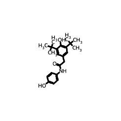 CC(C)(C)c1cc(CC(=O)Nc2ccc(O)cc2)cc(C(C)(C)C)c1O